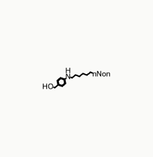 CCCCCCCCCCCCCCCNc1ccc(CO)cc1